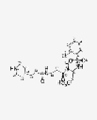 CCc1ccccc1S(=O)(=O)NC(CC(=O)O)NC(=O)CCNC(=O)CCC1CCNCC1